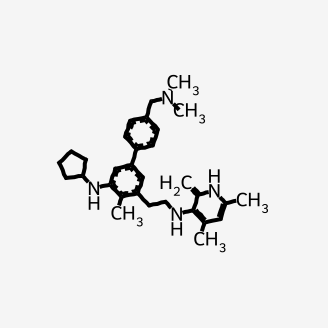 C=C1NC(C)=CC(C)=C1NCCc1cc(-c2ccc(CN(C)C)cc2)cc(NC2CCCC2)c1C